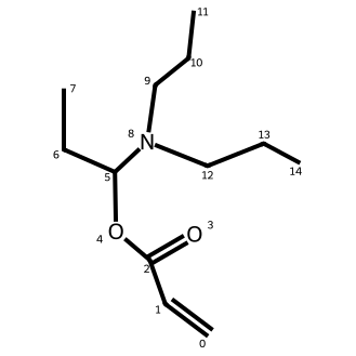 C=CC(=O)OC(CC)N(CCC)CCC